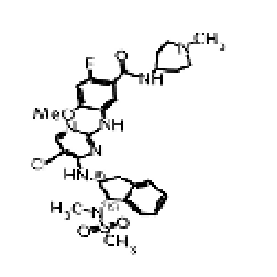 COc1cc(F)c(C(=O)NC2CCN(C)CC2)cc1Nc1ncc(Cl)c(N[C@@H]2Cc3ccccc3[C@@H]2N(C)S(C)(=O)=O)n1